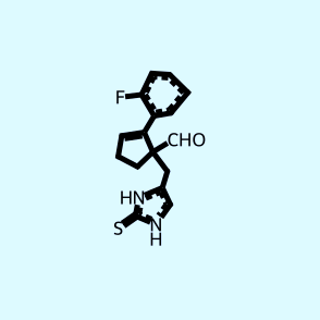 O=CC1(Cc2c[nH]c(=S)[nH]2)CCC=C1c1ccccc1F